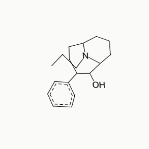 CCCN1C2CCCC1C(O)C(c1ccccc1)CC2